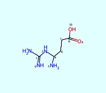 N=C(N)NC(N)CCC(=O)O